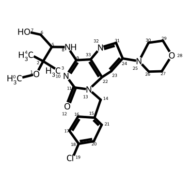 COC(C)(C)C(CO)Nc1nc(=O)n(Cc2ccc(Cl)cc2)c2cc(N3CCOCC3)cnc12